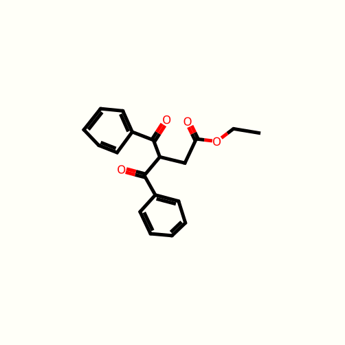 CCOC(=O)CC(C(=O)c1ccccc1)C(=O)c1ccccc1